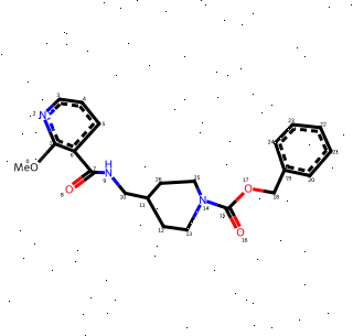 COc1ncccc1C(=O)NCC1CCN(C(=O)OCc2ccccc2)CC1